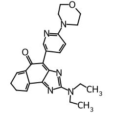 CCN(CC)C1=NC2=C(c3ccc(N4CCOCC4)nc3)C(=O)C3=CCCC=C3C2=N1